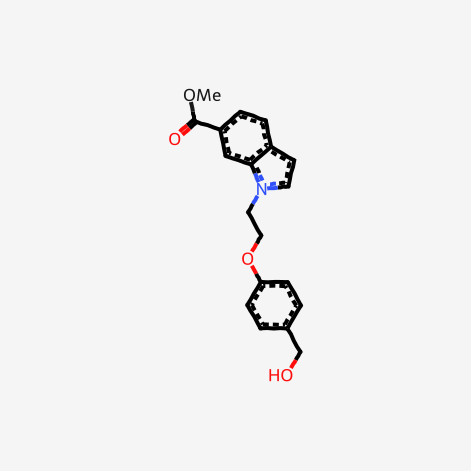 COC(=O)c1ccc2ccn(CCOc3ccc(CO)cc3)c2c1